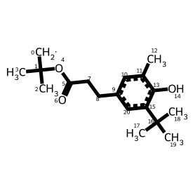 [CH2]C(C)(C)OC(=O)CCc1cc(C)c(O)c(C(C)(C)C)c1